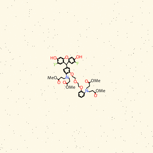 COC(=O)CCN(CCC(=O)OC)c1ccccc1OCCOCCOc1cc(C2c3cc(F)c(O)cc3Oc3cc(O)c(F)cc32)ccc1N(CCC(=O)OC)CCC(=O)OC